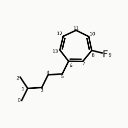 CC(C)CCCC1=CC(F)=CCC=C1